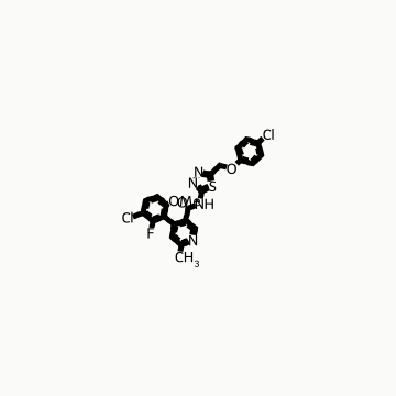 COc1ccc(Cl)c(F)c1-c1cc(C)ncc1C(=O)Nc1nnc(COc2ccc(Cl)cc2)s1